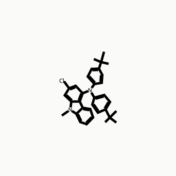 Cn1c2ccccc2c2c(N(c3ccc(C(C)(C)C)cc3)c3ccc(C(C)(C)C)cc3)cc(Cl)cc21